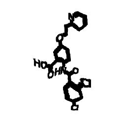 O=C(Nc1ccc(OCCc2ccccn2)cc1C(=O)O)c1ccc(Cl)cc1Cl